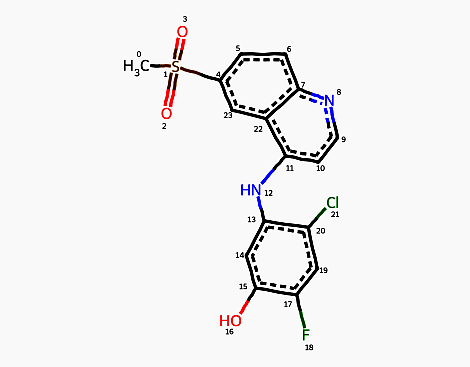 CS(=O)(=O)c1ccc2nccc(Nc3cc(O)c(F)cc3Cl)c2c1